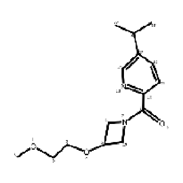 COCCOC1CN(C(=O)c2ccc(C(C)C)cn2)C1